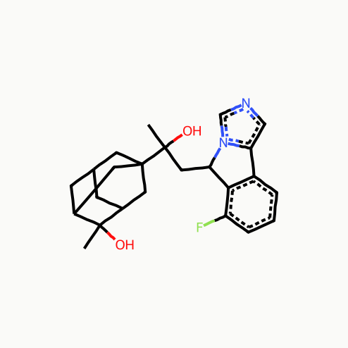 CC1(O)C2CC3CC1CC(C(C)(O)CC1c4c(F)cccc4-c4cncn41)(C3)C2